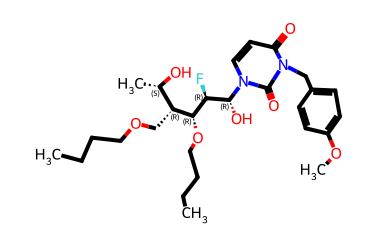 CCCCOC[C@@H]([C@@H](OCCCC)[C@@H](F)[C@@H](O)n1ccc(=O)n(Cc2ccc(OC)cc2)c1=O)[C@H](C)O